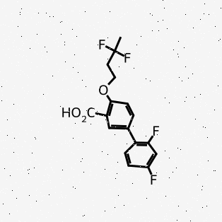 CC(F)(F)CCOc1ccc(-c2ccc(F)cc2F)cc1C(=O)O